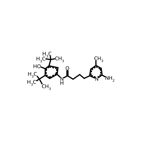 Cc1cc(N)nc(CCCC(=O)Nc2cc(C(C)(C)C)c(O)c(C(C)(C)C)c2)c1